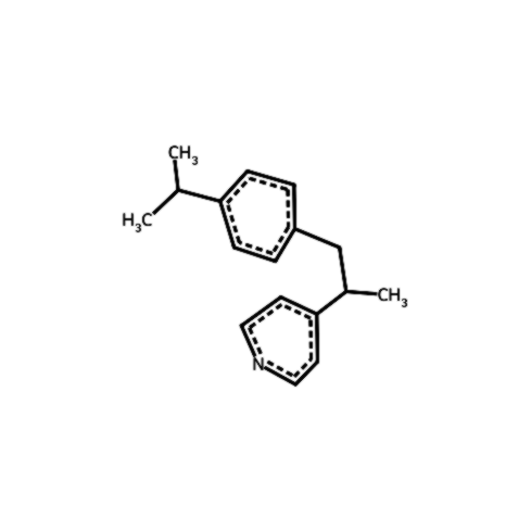 CC(C)c1ccc(CC(C)c2ccncc2)cc1